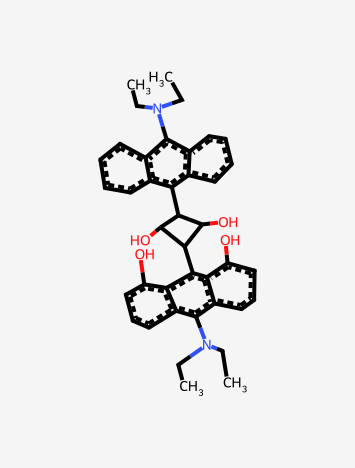 CCN(CC)c1c2ccccc2c(C2C(O)C(c3c4c(O)cccc4c(N(CC)CC)c4cccc(O)c34)C2O)c2ccccc12